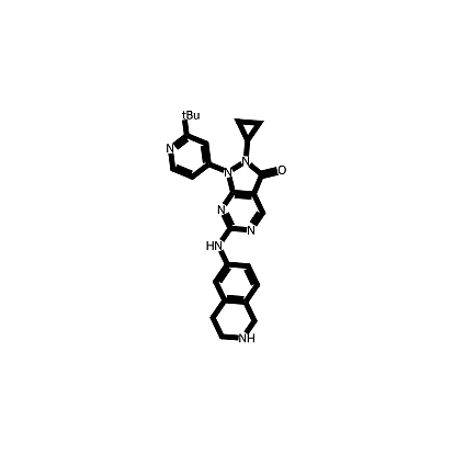 CC(C)(C)c1cc(-n2c3nc(Nc4ccc5c(c4)CCNC5)ncc3c(=O)n2C2CC2)ccn1